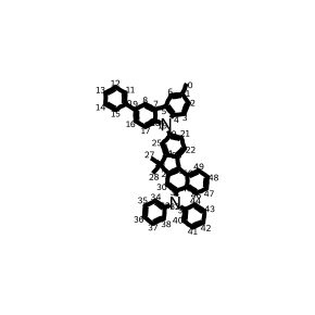 Cc1ccc2c(c1)c1cc(-c3ccccc3)ccc1n2-c1ccc2c(c1)C(C)(C)c1cc(N(c3ccccc3)c3ccccc3)c3ccccc3c1-2